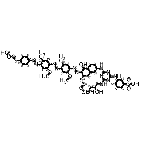 COc1cc(N=Nc2ccc(SOOO)cc2)c(C)cc1N=Nc1cc(OC)c(N=Nc2c(SOOO)cc3cc(Nc4nc(NCC(O)CO)nc(Nc5cccc(S(=O)(=O)O)c5)n4)ccc3c2O)cc1C